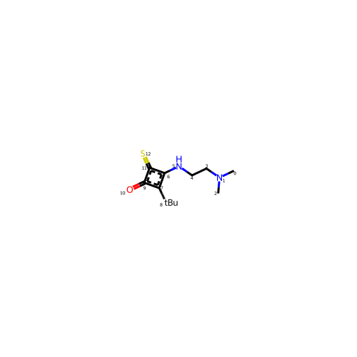 CN(C)CCNc1c(C(C)(C)C)c(=O)c1=S